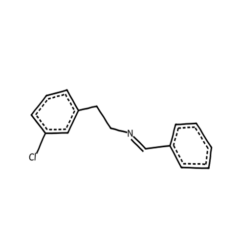 Clc1cccc(CCN=Cc2ccccc2)c1